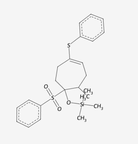 CC1CC=C(Sc2ccccc2)CCC1(O[Si](C)(C)C)S(=O)(=O)c1ccccc1